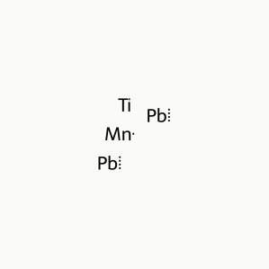 [Mn].[Pb].[Pb].[Ti]